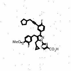 COSc1ccc(Cc2c(-c3ccc(F)c(C#CCC4CCCC4)c3)nn(-c3nc(C(=O)O)cs3)c2CC2CC2)cc1F